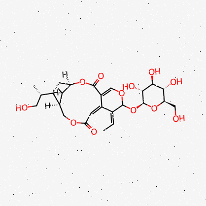 C/C=C1\C2=C/C(=O)OC[C@@H]3[C@@H](C)[C@@H](C[C@H]3[C@@H](C)CO)OC(=O)C2=COC1O[C@@H]1O[C@H](CO)[C@@H](O)[C@H](O)[C@H]1O